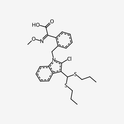 CCCSC(SCCC)c1c(Cl)n(Cc2ccccc2C(=NOC)C(=O)O)c2ccccc12